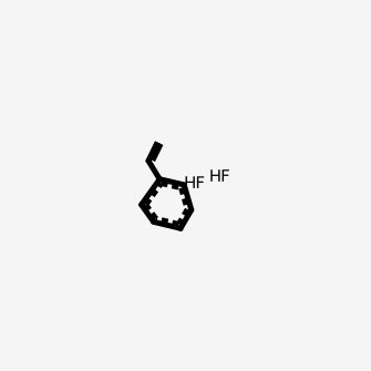 C=Cc1ccccc1.F.F